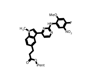 CCCC(C)OC(=O)CCc1ccc2c(c1)c(-c1ccnc(Nc3cc([N+](=O)[O-])c(F)cc3OC)n1)cn2C